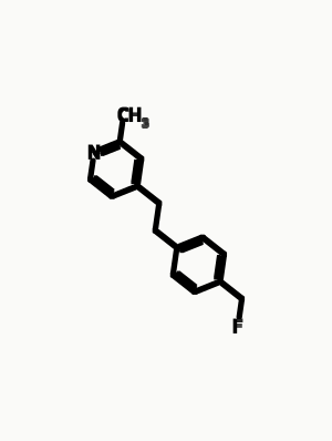 Cc1cc(CCc2ccc(CF)cc2)ccn1